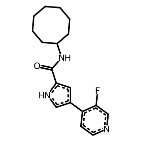 O=C(NC1CCCCCCC1)c1cc(-c2ccncc2F)c[nH]1